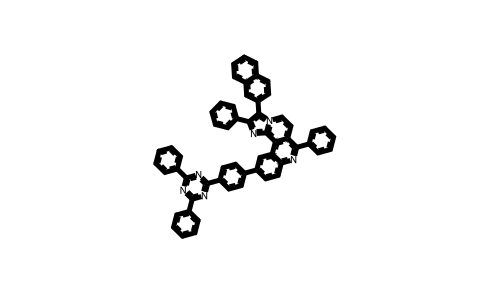 c1ccc(-c2nc(-c3ccccc3)nc(-c3ccc(-c4ccc5nc(-c6ccccc6)c6ccn7c(-c8ccc9ccccc9c8)c(-c8ccccc8)nc7c6c5c4)cc3)n2)cc1